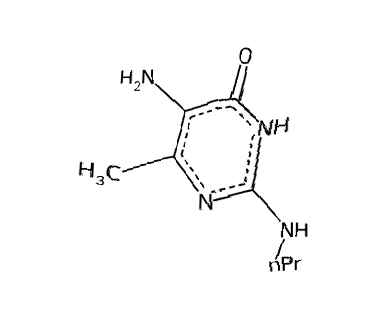 CCCNc1nc(C)c(N)c(=O)[nH]1